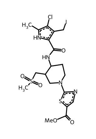 COC(=O)c1cnc(N2CCC(NC(=O)c3[nH]c(C)c(Cl)c3CI)C(CS(C)(=O)=O)C2)s1